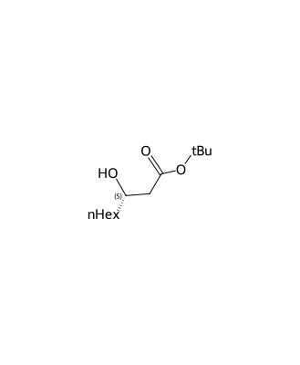 CCCCCC[C@H](O)CC(=O)OC(C)(C)C